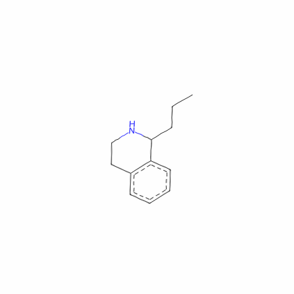 CCCC1NCCc2ccccc21